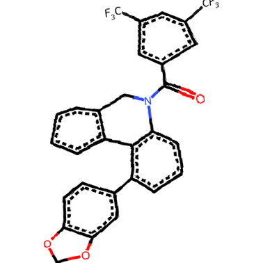 O=C(c1cc(C(F)(F)F)cc(C(F)(F)F)c1)N1Cc2ccccc2-c2c(-c3ccc4c(c3)OCO4)cccc21